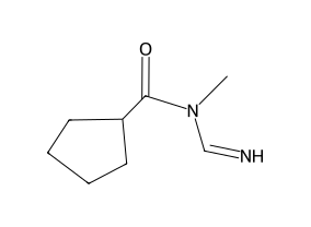 CN(C=N)C(=O)C1CCCC1